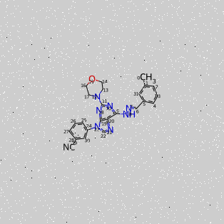 Cc1cccc(C=NNc2nc(N3CCOCC3)nc3c2ncn3-c2cccc(C#N)c2)c1